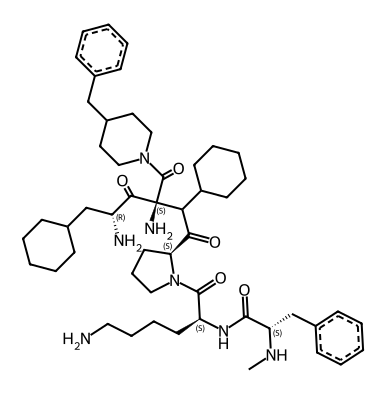 CN[C@@H](Cc1ccccc1)C(=O)N[C@@H](CCCCN)C(=O)N1CCC[C@H]1C(=O)C(C1CCCCC1)[C@](N)(C(=O)[C@H](N)CC1CCCCC1)C(=O)N1CCC(Cc2ccccc2)CC1